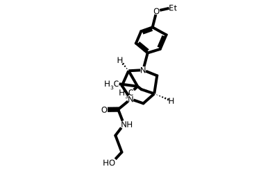 CCOc1ccc(N2C[C@H]3CN(C(=O)NCCO)C[C@@H]2C(C)(C)C3)cc1